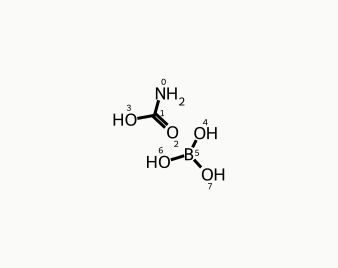 NC(=O)O.OB(O)O